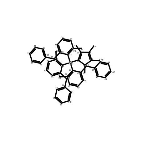 CC1=C(C)C(C)C([Si](c2c(C)cccc2Cc2ccccc2)(c2c(C)cccc2Cc2ccccc2)c2c(C)cccc2Cc2ccccc2)=C1C